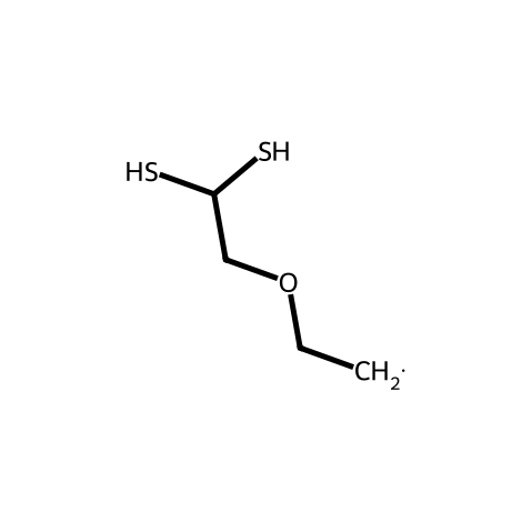 [CH2]COCC(S)S